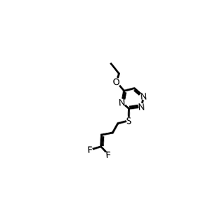 CCOc1cnnc(SCCC=C(F)F)n1